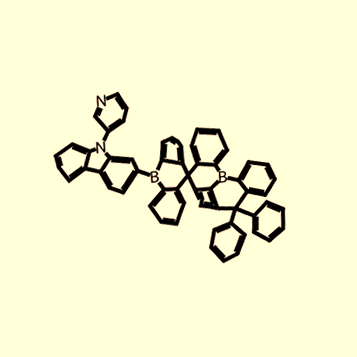 c1ccc(C2(c3ccccc3)c3ccccc3B3c4ccccc4C4(c5ccccc5B(c5ccc6c7ccccc7n(-c7cccnc7)c6c5)c5ccccc54)c4cccc2c43)cc1